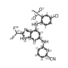 CS(=O)(=O)c1cc(Cl)ccc1Nc1cc(Nc2cccc(C#N)n2)nc2[nH]c(C(F)F)nc12